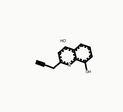 C#CCc1ccc2cccc(O)c2n1.Cl